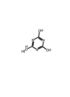 Oc1nc(O)nc(O)n1.[Hf]